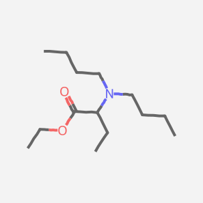 CCCCN(CCCC)C(CC)C(=O)OCC